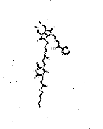 CCOCCOC(=O)CCn1c(=O)[nH]c(=O)n(CCC(=O)OCOCN2C(=O)N(COC)C3C2N(COCC(O)c2ccccc2)C(=O)N3COC)c1=O